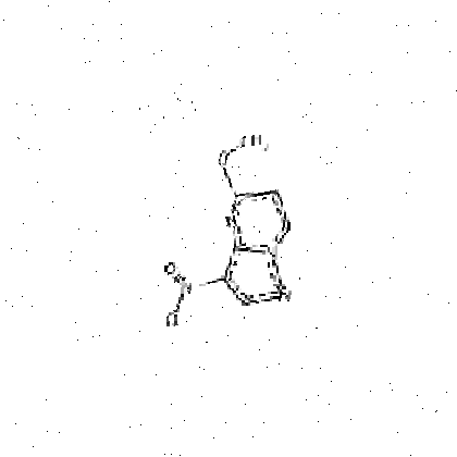 COc1ccn2ncc([N+](=O)[O-])c2n1